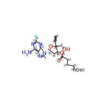 C#C[C@]1(CO)O[C@@H](n2cnc3c(N)nc(F)nc32)C[C@@H]1OC(=O)CCCCCCCCCCCCC